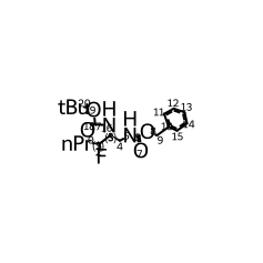 CCC[C@H](F)[C@H](CNC(=O)OCc1ccccc1)NC(=O)OC(C)(C)C